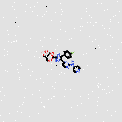 OCC1COC(c2nc(-c3ccc(F)cc3)c(-c3ccnc(Nc4ccncc4)n3)[nH]2)OC1